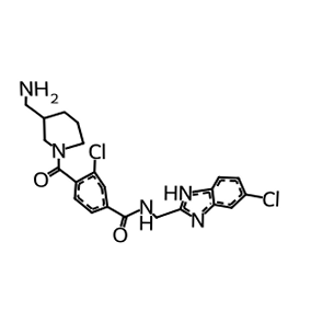 NCC1CCCN(C(=O)c2ccc(C(=O)NCc3nc4cc(Cl)ccc4[nH]3)cc2Cl)C1